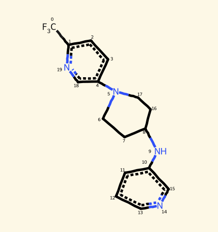 FC(F)(F)c1ccc(N2CCC(Nc3cccnc3)CC2)cn1